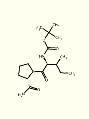 CCC(C)[C@H](NC(=O)OC(C)(C)C)C(=O)N1CCC[C@H]1C(N)=O